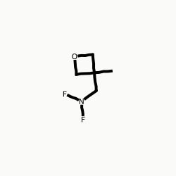 CC1(CN(F)F)COC1